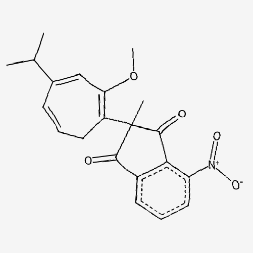 COC1=C(C2(C)C(=O)c3cccc([N+](=O)[O-])c3C2=O)CC=CC(C(C)C)=C1